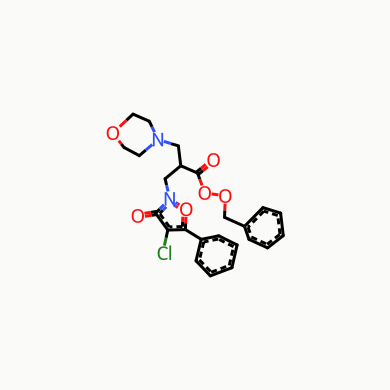 O=C(OOCc1ccccc1)C(CN1CCOCC1)Cn1oc(-c2ccccc2)c(Cl)c1=O